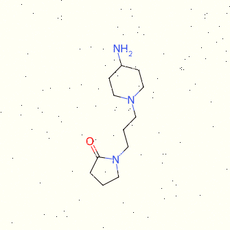 NC1CCN(CCCN2CCCC2=O)CC1